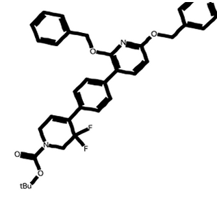 CC(C)(C)OC(=O)N1CC=C(c2ccc(-c3ccc(OCc4ccccc4)nc3OCc3ccccc3)cc2)C(F)(F)C1